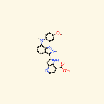 COc1ccc(N(C)c2cccc3c(-c4cc5nccc(C(=O)O)c5[nH]4)n(C)nc23)cc1